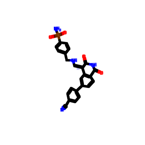 N#Cc1ccc(-c2ccc3c(c2)/C(=C/NCc2ccc(S(N)(=O)=O)cc2)C(=O)NC3=O)cc1